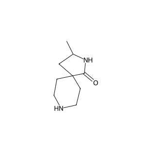 CC1CC2(CCNCC2)C(=O)N1